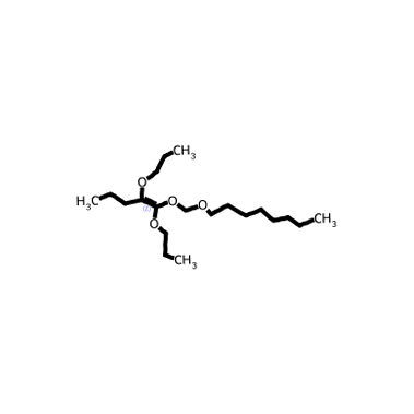 CCCCCCCCOCO/C(OCCC)=C(/CCC)OCCC